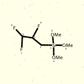 CO[Si](CC(F)C(F)F)(OC)OC